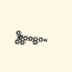 N#Cc1ccc(-c2ccc(-c3ccc(-c4ccc(-c5nc(-c6ccccc6)nc(-c6ccccc6)c5-c5ccccc5)cc4)cc3)c3ccccc23)cc1